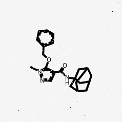 Cn1ncc(C(=O)NC23CC4CC(CC(C4)C2)C3)c1OCc1ccccc1